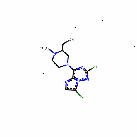 N#CC[C@H]1CN(c2nc(Cl)nn3c(Br)cnc23)CCN1C(=O)O